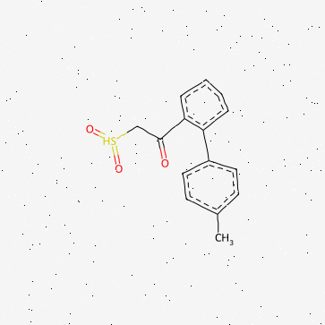 Cc1ccc(-c2ccccc2C(=O)C[SH](=O)=O)cc1